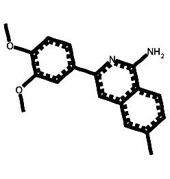 COc1ccc(-c2cc3cc(C)ccc3c(N)n2)cc1OC